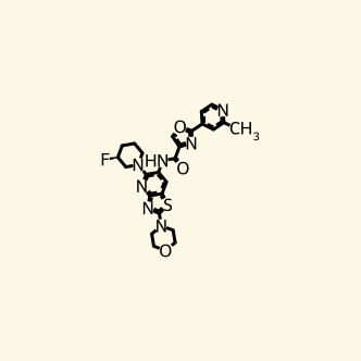 Cc1cc(-c2nc(C(=O)Nc3cc4sc(N5CCOCC5)nc4nc3N3CCC[C@H](F)C3)co2)ccn1